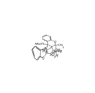 COC1(C)Oc2ccccc2C(OC)(N2c3ccccc3OC2S(=O)(=O)O)C1(C)O